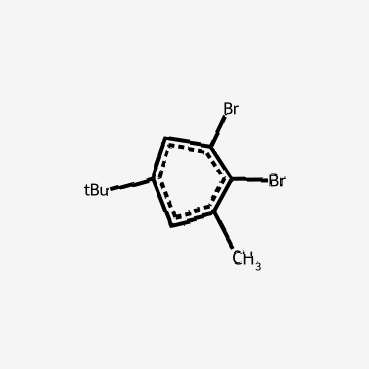 Cc1cc(C(C)(C)C)cc(Br)c1Br